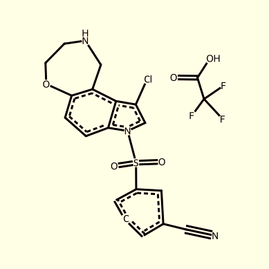 N#Cc1cccc(S(=O)(=O)n2cc(Cl)c3c4c(ccc32)OCCNC4)c1.O=C(O)C(F)(F)F